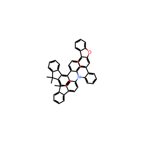 CC1(C)c2ccccc2-c2ccc(N(c3ccccc3-c3ccc4c(c3)oc3ccccc34)c3ccccc3-c3cccc4c3-c3ccccc3C4(C)C)cc21